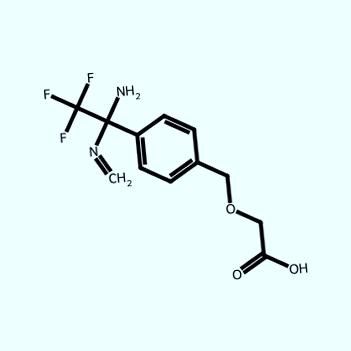 C=NC(N)(c1ccc(COCC(=O)O)cc1)C(F)(F)F